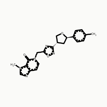 Cc1ccc([C@H]2C[C@H](c3noc(Cn4ccc5ncn(C)c5c4=O)n3)CO2)cc1